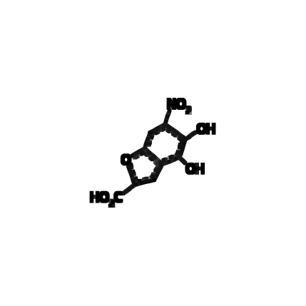 O=C(O)c1cc2c(O)c(O)c([N+](=O)[O-])cc2o1